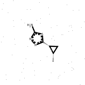 C[C@H]1C[C@H]1c1nnc(N)s1